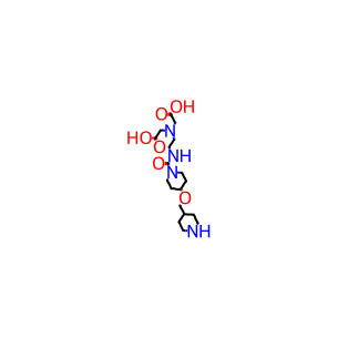 O=C(O)CN(CCNC(=O)N1CCC(OCC2CCNCC2)CC1)CC(=O)O